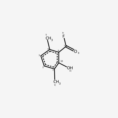 Cc1ccc(C)c(C(=O)F)c1O